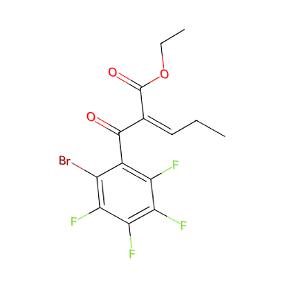 CCC=C(C(=O)OCC)C(=O)c1c(F)c(F)c(F)c(F)c1Br